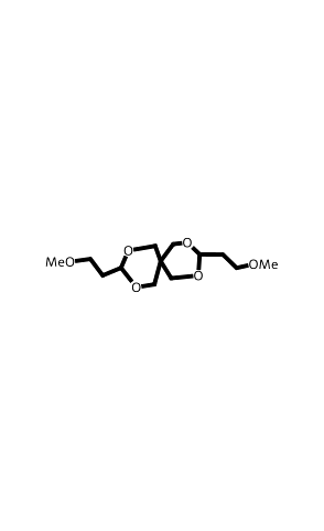 COCCC1OCC2(CO1)COC(CCOC)OC2